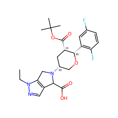 CCn1ncc2c1CN([C@H]1CO[C@@H](c3cc(F)ccc3F)[C@@H](C(=O)OC(C)(C)C)C1)C2C(=O)O